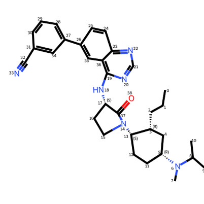 CCC[C@@H]1C[C@H](N(C)C(C)C)CC[C@@H]1N1CC[C@H](Nc2ncnc3ccc(-c4cccc(C#N)c4)cc23)C1=O